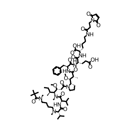 CC[C@H](C)[C@@H]([C@@H](CC(=O)N1CCC[C@H]1[C@H](OC)[C@@H](C)C(=O)N[C@@H](Cc1ccccc1)C(=O)N[C@@H](CCC(=O)O)C(=O)N[C@@H](CCCCNC(=O)CCN1C(=O)C=CC1=O)C(=O)O)OC)N(C)C(=O)[C@@H](NC(=O)[C@H](C(C)C)N(C)CCCCN(C)C(=O)C(C)(C)C)C(C)C